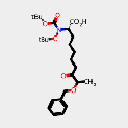 CC(OCc1ccccc1)C(=O)CCCCC[C@@H](C(=O)O)N(OC(C)(C)C)C(=O)OC(C)(C)C